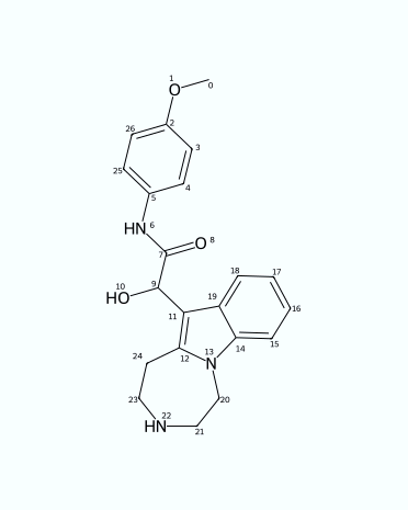 COc1ccc(NC(=O)C(O)c2c3n(c4ccccc24)CCNCC3)cc1